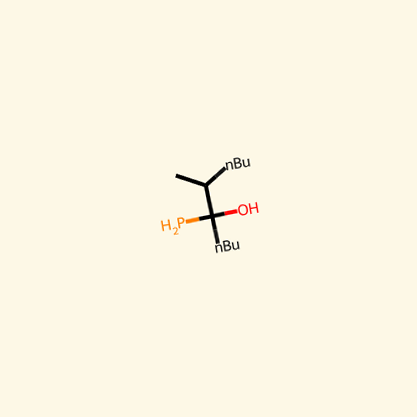 CCCCC(C)C(O)(P)CCCC